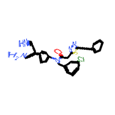 N=C/C(=C\N)c1ccc(N(Cc2cccc(Cl)c2)C(=O)Cc2nnc(-c3ccccc3)s2)cc1